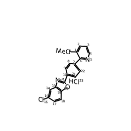 COc1cccnc1-c1ccc(-c2nc3cc(Cl)ccc3o2)cc1.Cl